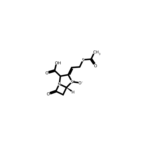 CC(=O)SCC=C1C(C(=O)O)N2C(=O)C[C@H]2[S+]1[O-]